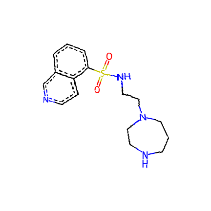 O=S(=O)(NCCN1CCCNCC1)c1cccc2cnccc12